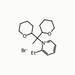 CCc1cccc[n+]1C(C)(C1CCCCO1)C1CCCCO1.[Br-]